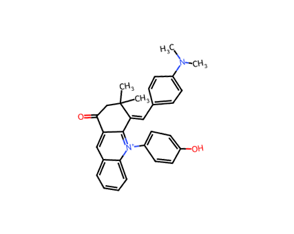 CN(C)c1ccc(C=C2c3c(cc4ccccc4[n+]3-c3ccc(O)cc3)C(=O)CC2(C)C)cc1